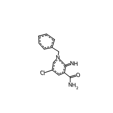 N=c1c(C(N)=O)cc(Cl)cn1Cc1ccccc1